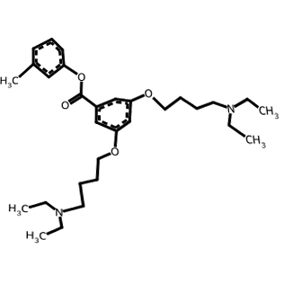 CCN(CC)CCCCOc1cc(OCCCCN(CC)CC)cc(C(=O)Oc2cccc(C)c2)c1